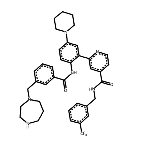 O=C(NCc1cccc(C(F)(F)F)c1)c1ccnc(-c2cc(N3CCCCC3)ccc2NC(=O)c2cccc(CN3CCCNCC3)c2)c1